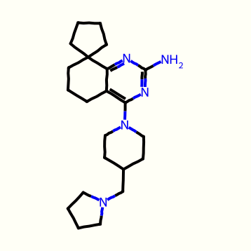 Nc1nc(N2CCC(CN3CCCC3)CC2)c2c(n1)C1(CCCC1)CCC2